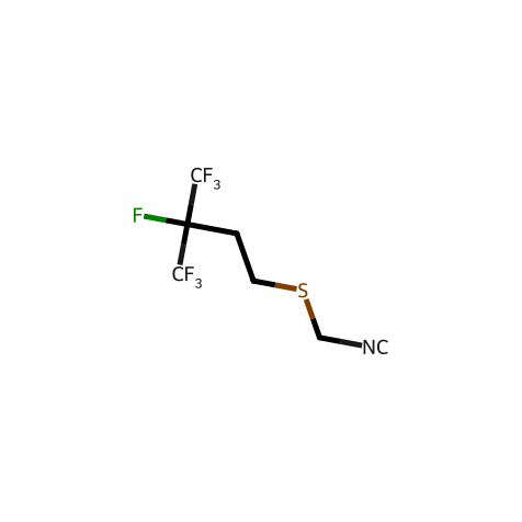 [C-]#[N+]CSCCC(F)(C(F)(F)F)C(F)(F)F